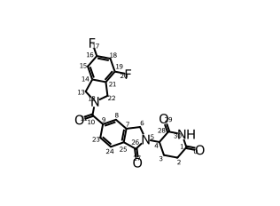 O=C1CCC(N2Cc3cc(C(=O)N4Cc5cc(F)cc(F)c5C4)ccc3C2=O)C(=O)N1